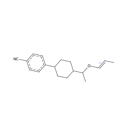 C/C=C/OC(C)C1CCC(c2ccc(C#N)cc2)CC1